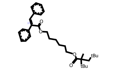 CC(C)(C)CC(C)(C(=O)OCCCCCCOC(=O)/C(=C\c1ccccc1)c1ccccc1)C(C)(C)C